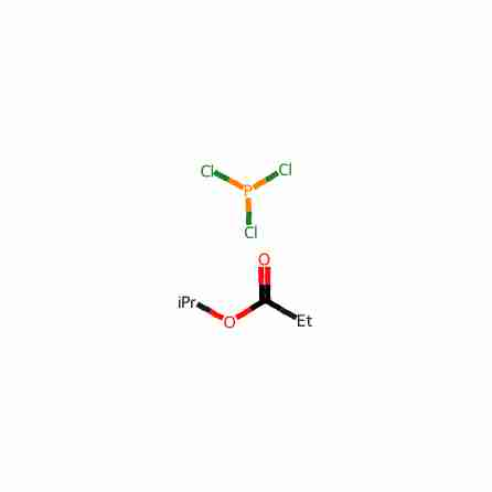 CCC(=O)OC(C)C.ClP(Cl)Cl